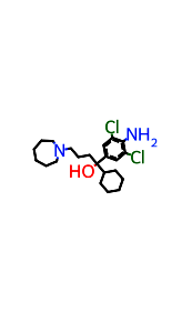 Nc1c(Cl)cc(C(O)(CCCN2CCCCCC2)C2CCCCC2)cc1Cl